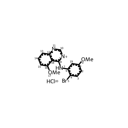 COc1ccc(Br)c(Nc2ncnc3cccc(OC)c23)c1.Cl